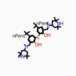 CCCCCC(C)(C)c1cc(CN(C)C2CC(C)(C)NC(C)(C)C2)c(O)c(Sc2cc(C(C)(C)CCCCC)cc(CN(C)C3CC(C)(C)NC(C)(C)C3)c2O)c1